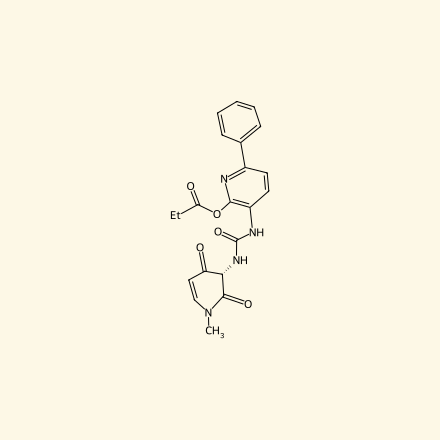 CCC(=O)Oc1nc(-c2ccccc2)ccc1NC(=O)N[C@H]1C(=O)C=CN(C)C1=O